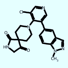 Cn1ncc2cc(-c3cncc(Cl)c3N3CCC4(CC3)C(=O)CNC4=O)ccc21